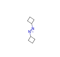 C1CC(/N=N/C2CCC2)C1